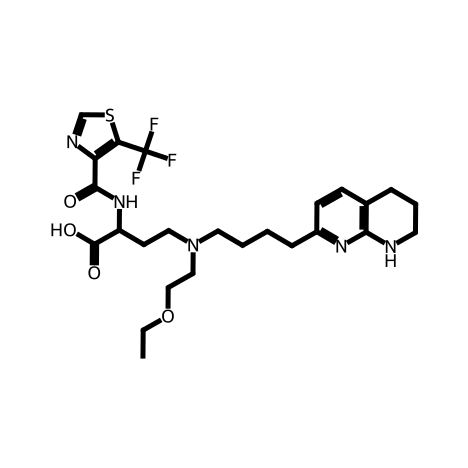 CCOCCN(CCCCc1ccc2c(n1)NCCC2)CCC(NC(=O)c1ncsc1C(F)(F)F)C(=O)O